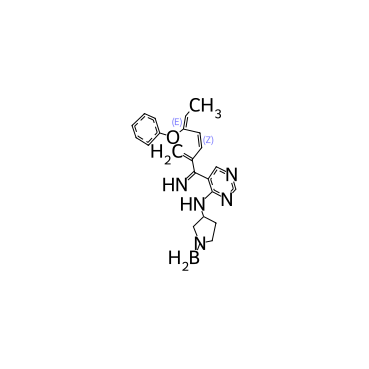 BN1CCC(Nc2ncncc2C(=N)C(=C)/C=C\C(=C/C)Oc2ccccc2)C1